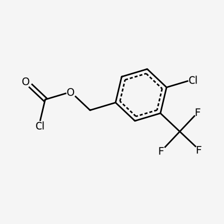 O=C(Cl)OCc1ccc(Cl)c(C(F)(F)F)c1